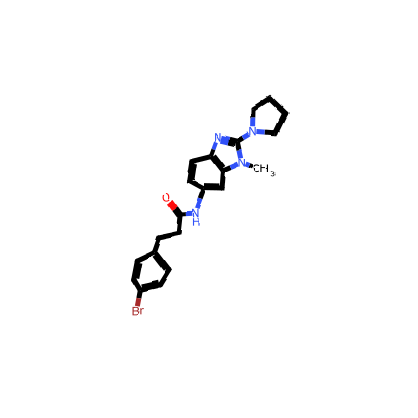 Cn1c(N2CCCC2)nc2ccc(NC(=O)CCc3ccc(Br)cc3)cc21